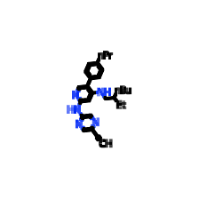 C#Cc1cnc(Nc2cc(NCC(CC)CCCC)c(-c3ccc(CCC)cc3)cn2)cn1